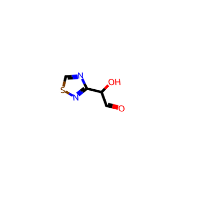 O=CC(O)c1ncsn1